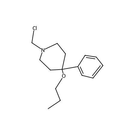 CCCOC1(c2ccccc2)CCN(CCl)CC1